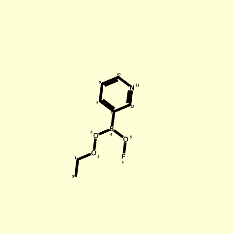 CCOOB(OF)c1cccnc1